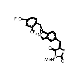 CNN1C(=O)SC(=Cc2ccc3c(cnn3Cc3ccc(C(F)(F)F)cc3C(F)(F)F)c2)C1=O